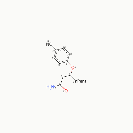 CCCCCC(CC(N)=O)Oc1ccc(C#N)cc1